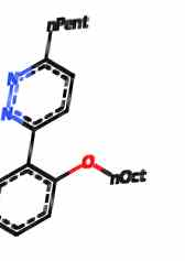 CCCCCCCCOc1ccccc1-c1ccc(CCCCC)nn1